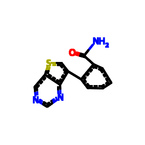 NC(=O)c1ccccc1-c1csc2cncnc12